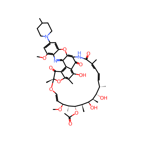 COc1cc(N2CCC(C)CC2)cc2oc3c4c(=O)c5c(O)c(C)c6c(c5c-3nc12)C(=O)[C@@](C)(O/C=C/[C@H](OC)[C@@H](C)[C@@H](OC(C)=O)[C@H](C)[C@H](O)[C@H](C)[C@@H](O)[C@@H](C)/C=C/C=C(/C)C(=O)N4)O6